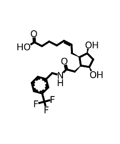 O=C(O)CCC/C=C\C[C@@H]1[C@H](CC(=O)NCc2cccc(C(F)(F)F)c2)[C@H](O)C[C@@H]1O